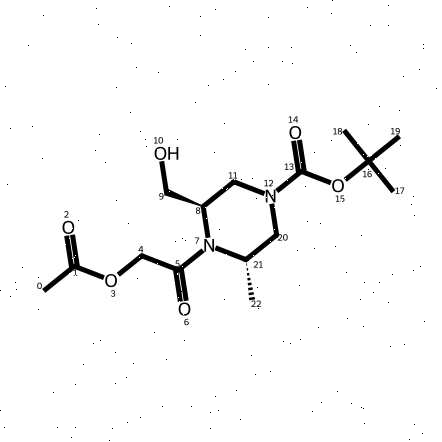 CC(=O)OCC(=O)N1[C@@H](CO)CN(C(=O)OC(C)(C)C)C[C@@H]1C